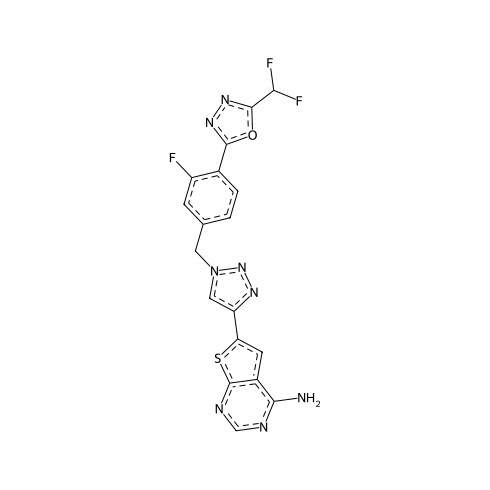 Nc1ncnc2sc(-c3cn(Cc4ccc(-c5nnc(C(F)F)o5)c(F)c4)nn3)cc12